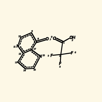 O=C(O)C(F)(F)F.O=c1ccnc2cccnn12